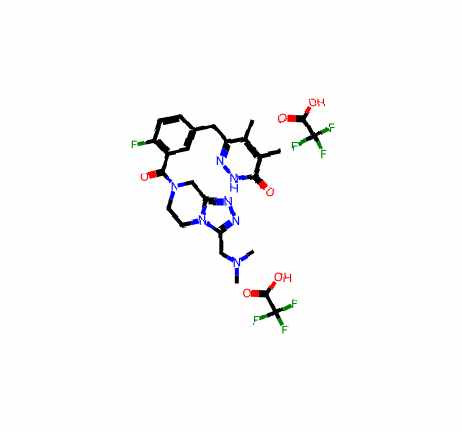 Cc1c(Cc2ccc(F)c(C(=O)N3CCn4c(CN(C)C)nnc4C3)c2)n[nH]c(=O)c1C.O=C(O)C(F)(F)F.O=C(O)C(F)(F)F